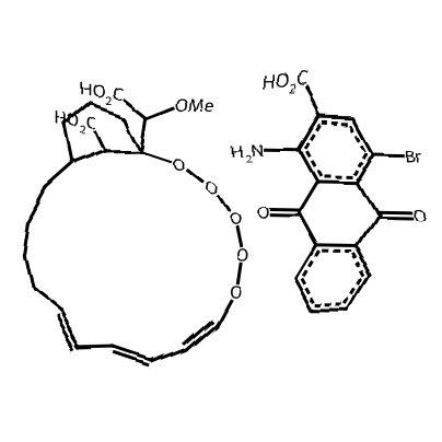 COC(C(=O)O)C12CCCC(CCCC/C=C/C=C/C=C\OOOOO1)C2C(=O)O.Nc1c(C(=O)O)cc(Br)c2c1C(=O)c1ccccc1C2=O